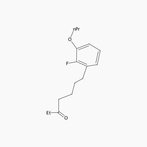 CCCOc1cccc(CCCCC(=O)CC)c1F